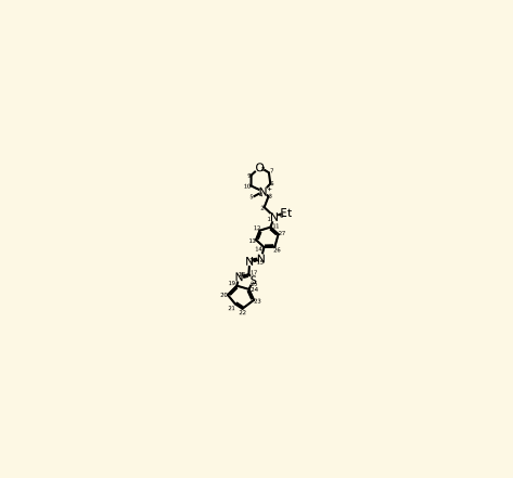 CCN(CC[N+]1(C)CCOCC1)c1ccc(N=Nc2nc3ccccc3s2)cc1